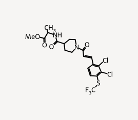 COC(=O)C(C)NC(=O)C1CCN(C(=O)C=Cc2ccc(SC(F)(F)F)c(Cl)c2Cl)CC1